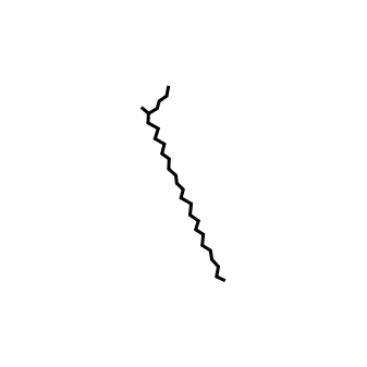 CCCCCCCCCCCCCCCCCCCCCCC(C)CCCC